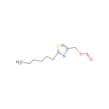 CCCCCCc1nc(CO[C]=O)cs1